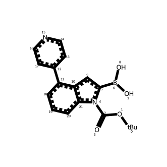 CC(C)(C)OC(=O)n1c(B(O)O)cc2c(-c3ccncc3)cccc21